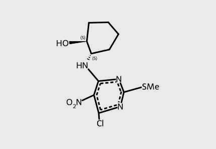 CSc1nc(Cl)c([N+](=O)[O-])c(N[C@H]2CCCC[C@@H]2O)n1